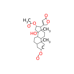 CC(=O)OC1CC2(O)C3CCC4CC(OC=O)CCC4(C)C3CCC2(C)C1C1=CC(=O)OC1